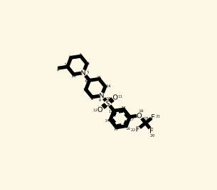 CC1CCCN(C2CCN(S(=O)(=O)c3cccc(OC(F)(F)F)c3)CC2)C1